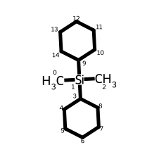 C[Si](C)(C1CCCCC1)C1CCCCC1